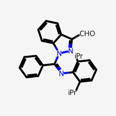 CC(C)c1cccc(C(C)C)c1/N=C(/c1ccccc1)n1nc(C=O)c2ccccc21